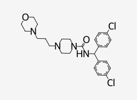 O=C(NC(c1ccc(Cl)cc1)c1ccc(Cl)cc1)N1CCN(CCCN2CCOCC2)CC1